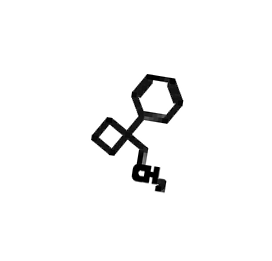 C=CC1(c2ccccc2)CCC1